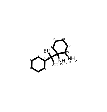 CCC(CC)(C1CCCCC1)C1(N)CCCCC1N